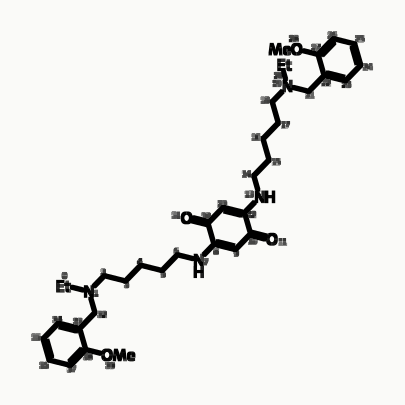 CCN(CCCCCNC1=CC(=O)C(NCCCCCN(CC)Cc2ccccc2OC)=CC1=O)Cc1ccccc1OC